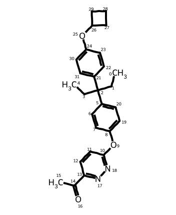 CCC(CC)(c1ccc(Oc2ccc(C(C)=O)nn2)cc1)c1ccc(OC2CCC2)cc1